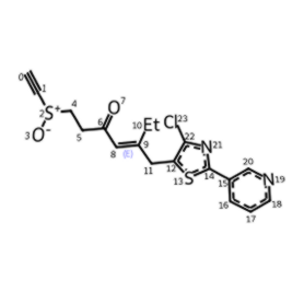 C#C[S+]([O-])CCC(=O)/C=C(\CC)Cc1sc(-c2cccnc2)nc1Cl